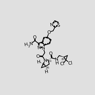 NC(=O)c1nn(CC(=O)N2[C@@H]3C[C@@H]3C[C@H]2C(=O)NC[C@H]2CC2(Cl)Cl)c2ccc(OCc3nccs3)cc12